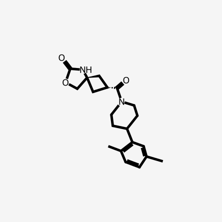 Cc1ccc(C)c(C2CCN(C(=O)[C@H]3C[C@]4(COC(=O)N4)C3)CC2)c1